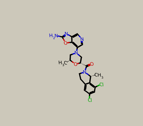 C[C@@H]1CN(c2cncc3nc(N)oc23)C[C@H](C(=O)N2CCc3cc(Cl)cc(Cl)c3[C@H]2C)O1